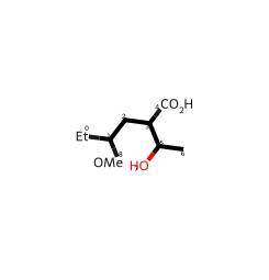 CCC(CC(C(=O)O)C(C)O)OC